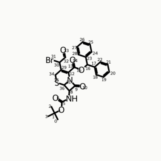 CC(C)(C)OC(=O)NC1C(=O)N2C(C(=O)OC(c3ccccc3)c3ccccc3)=C(C(Br)C=O)CSC12